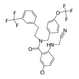 N#CCNc1ccc(Cl)cc1C(=O)N(CCc1cccc(C(F)(F)F)c1)Cc1ccc(OC(F)(F)F)cc1